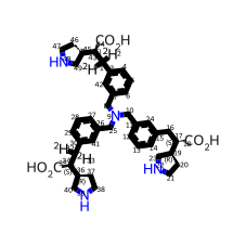 [2H]C([2H])(c1cccc(CN(Cc2cccc(C[C@H](C(=O)O)[C@H]3CCNC3)c2)Cc2cccc(C([2H])([2H])[C@H](C(=O)O)[C@H]3CCNC3)c2)c1)[C@H](C(=O)O)[C@H]1CCNC1